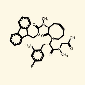 Cc1cc(F)ccc1C[C@@H](C(=O)N(C)CC(=O)O)N1CCC=CC[C@H](N(C)C(=O)OCC2c3ccccc3-c3ccccc32)C1=O